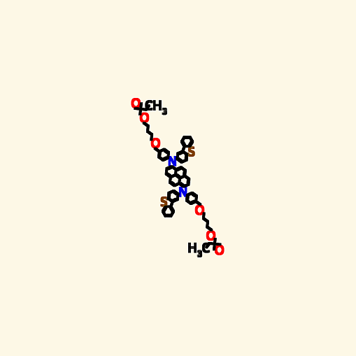 CCC1(COCCCCCOCc2ccc(N(c3ccc4sc5ccccc5c4c3)c3ccc4ccc5c(N(c6ccc(COCCCCCOCC7(CC)COC7)cc6)c6ccc7sc8ccccc8c7c6)ccc6ccc3c4c65)cc2)COC1